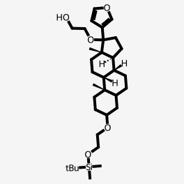 CC(C)(C)[Si](C)(C)OCCOC1CC[C@@]2(C)C(CC[C@@H]3[C@H]2CC[C@@]2(C)[C@H]3CCC2(OCCO)c2ccoc2)C1